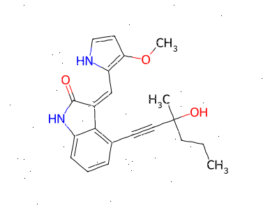 CCCC(C)(O)C#Cc1cccc2c1/C(=C/c1[nH]ccc1OC)C(=O)N2